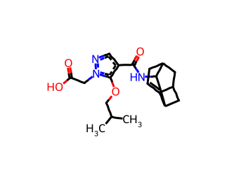 CC(C)COc1c(C(=O)NC2C3CC=C4C(C3)CC42)cnn1CC(=O)O